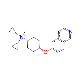 C[N+](C1CC1)(C1CC1)[C@H]1CC[C@H](Oc2ccc3cnccc3c2)CC1